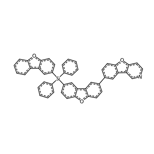 c1ccc([Si](c2ccccc2)(c2ccc3oc4ccccc4c3c2)c2ccc3oc4ccc(-c5ccc6oc7ccncc7c6c5)cc4c3c2)cc1